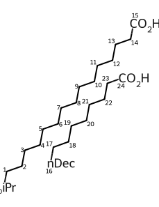 CC(C)CCCCCCCCCCCCCCC(=O)O.CCCCCCCCCCCCCCCCCC(=O)O